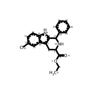 CCOC(=O)C1Cc2c([nH]c3ccc(Cl)cc23)C(c2ccccc2)N1